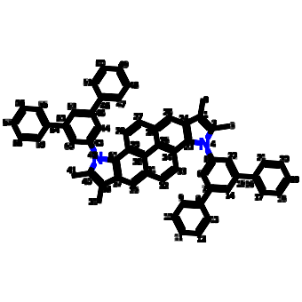 Cc1c(C)n(-c2cc(-c3ccccc3)cc(-c3ccccc3)c2)c2c1cc1ccc3c4c(ccc2c14)cc1c(C)c(C)n(-c2cc(-c4ccccc4)cc(-c4ccccc4)c2)c13